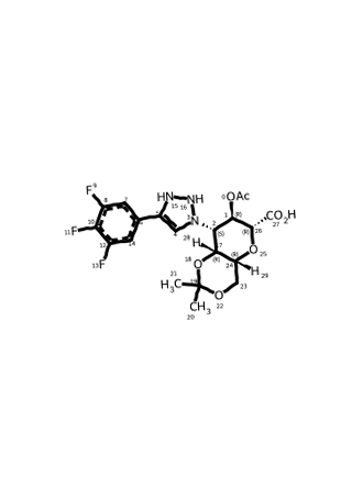 CC(=O)O[C@@H]1[C@@H](N2C=C(c3cc(F)c(F)c(F)c3)NN2)[C@H]2OC(C)(C)OC[C@H]2O[C@H]1C(=O)O